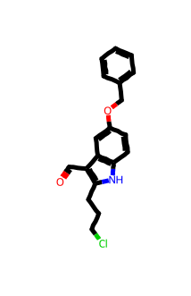 O=Cc1c(CCCCl)[nH]c2ccc(OCc3ccccc3)cc12